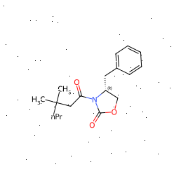 CCCC(C)(C)CC(=O)N1C(=O)OC[C@H]1Cc1ccccc1